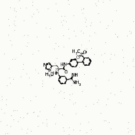 Cn1cncc1C[C@H](Nc1cccc(C(=N)N)c1)C(=O)Nc1ccc(-c2ccccc2S(C)(=O)=O)cc1